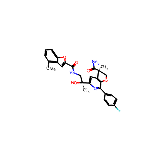 COc1cccc2oc(C(=O)NC[C@](O)(c3cc4c(c(-c5ccc(F)cc5)n3)OC[C@]4(C)C(N)=O)C(F)(F)F)cc12